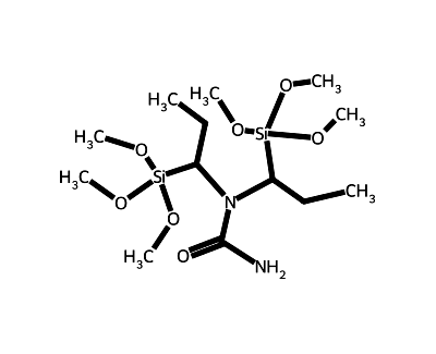 CCC(N(C(N)=O)C(CC)[Si](OC)(OC)OC)[Si](OC)(OC)OC